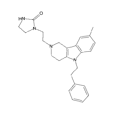 Cc1ccc2c(c1)c1c(n2CCc2ccccc2)CCN(CCN2CCNC2=O)C1